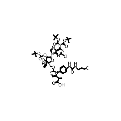 C#C[C@@]1(O)[C@@H](COC2SC=C(C(C)C(=O)O)N2c2ccc(NC(=O)NCCCCl)cc2)O[C@@H](n2cnc3c(N(C(=O)OC(C)(C)C)C(=O)OC(C)(C)C)nc(Cl)nc32)[C@@H]1OC(=O)OC(C)(C)C